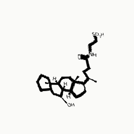 C[C@H](CCC(=O)NCCS(=O)(=O)O)[C@H]1CC[C@@H]2[C@H]3[C@@H](CC[C@@]21C)[C@@]1(C)CCCCC1C[C@@H]3O